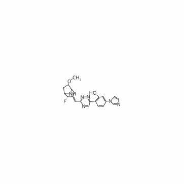 CO[C@@H]1CC2NC1C/C(=C\c1ncc(-c3ccc(-n4ccnc4)cc3O)nn1)[C@@H]2F